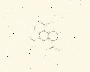 O=Cc1c(C(=O)O)cc2c(C(=O)O)cccc2c1C(=O)O